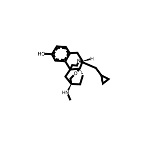 CN[C@]12CC[C@@]3(OC1)[C@H]1Cc4ccc(O)cc4C3(CCN1CC1CC1)C2